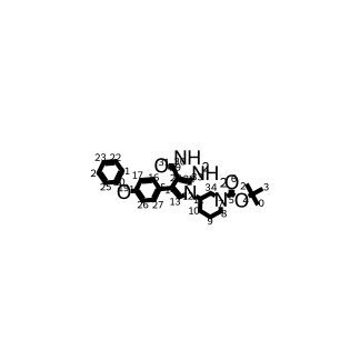 CC(C)(C)OC(=O)N1CCCC(n2cc(-c3ccc(Oc4ccccc4)cc3)c(C(N)=O)c2N)C1